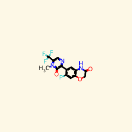 Cn1c(C(F)(F)F)cnc(-c2cc3c(cc2F)OCC(=O)N3)c1=O